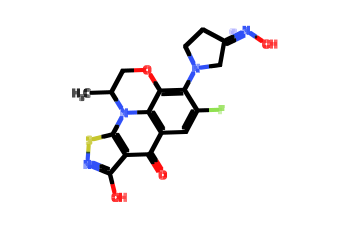 CC1COc2c(N3CC/C(=N/O)C3)c(F)cc3c(=O)c4c(O)nsc4n1c23